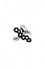 CCC[CH2][Ti]([CH3])(=[SiH2])([c]1cccc2c1Cc1ccccc1-2)[c]1cccc2c1Cc1ccccc1-2.Cl.Cl